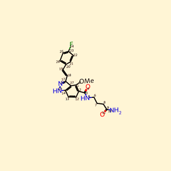 COc1c(C(=O)NCCCC(N)=O)ccc2[nH]nc(/C=C/c3ccc(F)cc3)c12